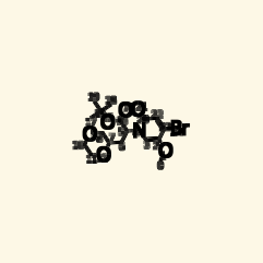 COc1cn(C(CC2COCCO2)C(=O)OC(C)(C)C)c(=O)cc1Br